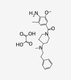 COc1cc(C(=O)N2CCC(N(C)CCc3ccccc3)CC2)cc(C)c1N.O=C(O)C(=O)O